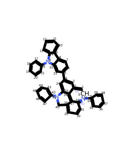 C/C=c1/cc(-c2ccc3c4ccccc4n(-c4ccccc4)c3c2)cc2c1=C1C(=CC=C/C1=N\c1ccccc1)CN2c1ccccc1